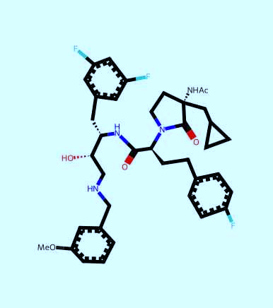 COc1cccc(CNC[C@H](O)[C@H](Cc2cc(F)cc(F)c2)NC(=O)[C@H](CCc2ccc(F)cc2)N2CC[C@](CC3CC3)(NC(C)=O)C2=O)c1